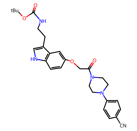 CC(C)(C)OC(=O)NCCc1c[nH]c2ccc(OCC(=O)N3CCN(c4ccc(C#N)cc4)CC3)cc12